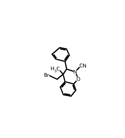 CC1(CBr)c2ccccc2ON(C#N)C1c1ccccc1